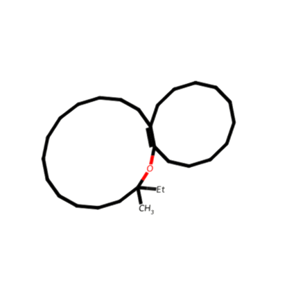 CCC1(C)CCCCCCCCCCCCC2=C(CCCCCCCCCC2)O1